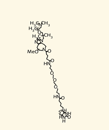 CO[C@@H]1Cc2nnn(CC(C)(C)COP(C)CN(C)C)c2CCN(C(=O)CCCC(=O)NCCCOCCOCCOCCCNC(=O)CCCC[C@@H]2SC[C@@H]3NC(=O)N[C@@H]32)C1